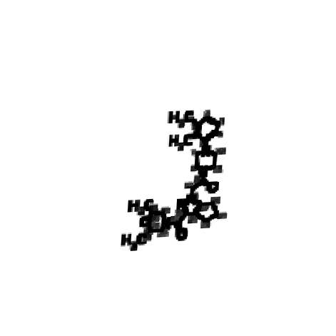 Cc1cccc(N2CCN(C(=O)Cn3nc(C(=O)N4C[C@@H](C)O[C@@H](C)C4)c4c3CCC4)CC2)c1C